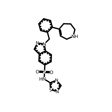 O=S(=O)(Nc1ncns1)c1ccc2c(cnn2Cc2ccccc2C2=CCNCCC2)c1